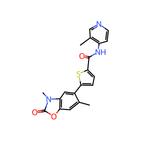 Cc1cnccc1NC(=O)c1ccc(-c2cc3c(cc2C)oc(=O)n3C)s1